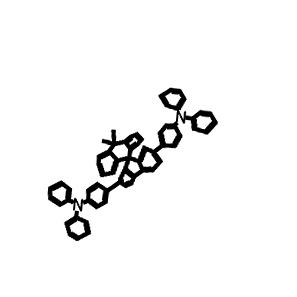 CC1(C)c2ccccc2C2(c3cc(-c4ccc(N(c5ccccc5)c5ccccc5)cc4)ccc3-c3ccc(-c4ccc(N(c5ccccc5)c5ccccc5)cc4)cc32)c2ccccc21